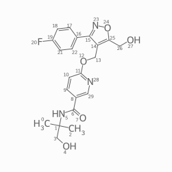 CC(C)(CO)NC(=O)c1ccc(OCc2c(-c3ccc(F)cc3)noc2CO)nc1